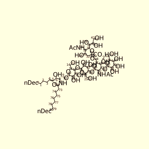 CCCCCCCCCCCCC/C=C/[C@@H](O)[C@H](CO[C@@H]1OC(CO)[C@@H](O[C@@H]2OC(CO)[C@H](O[C@@H]3OC(CO[C@]4(C(=O)O)CC(O)[C@@H](NC(C)=O)C([C@H](O)[C@H](O)CO)O4)[C@H](O)[C@H](O[C@@H]4OC(CO)[C@H](O)[C@H](O)C4O)C3NC(C)=O)[C@H](O)C2O)[C@H](O)C1O)NC(=O)CCCCCCCCCCCCCCCCC